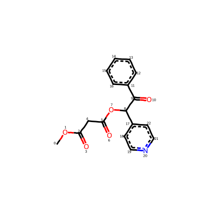 COC(=O)CC(=O)OC(C(=O)c1ccccc1)c1ccncc1